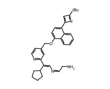 CC(C)(C)C1=NC(c2ccc(OCc3ccnc(C(=C/N=C\CN)C4CCCC4)c3)c3ccccc23)=C1